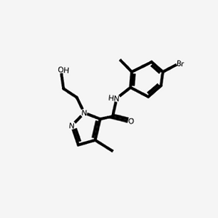 Cc1cc(Br)ccc1NC(=O)c1c(C)cnn1CCO